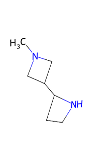 CN1CC(C2CCN2)C1